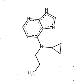 CCCN(c1ncnc2[nH]cnc12)C1CC1